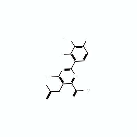 C=C(C)Cc1c(N)nc(-c2ccc(Cl)c(OC)c2F)nc1C(=O)OC